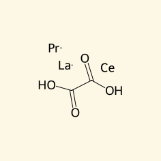 O=C(O)C(=O)O.[Ce].[La].[Pr]